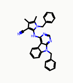 Cc1c(C#N)c(Nc2ncnc3c2c2ccccc2n3Cc2ccccc2)n(Cc2ccccc2)c1C